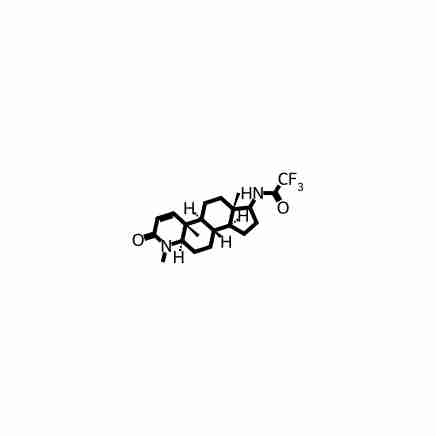 CN1C(=O)C=C[C@]2(C)[C@H]3CC[C@]4(C)C(NC(=O)C(F)(F)F)CC[C@H]4[C@@H]3CC[C@@H]12